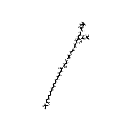 CC(C)(C)OC(=O)CCCCCCCCCCCCCCCCC(=O)NCCOCCOCCOCCNC(=O)C(CCCNC(=O)OC(C)(C)C)NC(=O)OC(C)(C)C